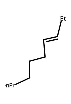 CC[CH]CCC/C=C/CC